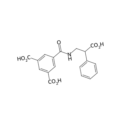 O=C(O)c1cc(C(=O)O)cc(C(=O)NCC(C(=O)O)c2ccccc2)c1